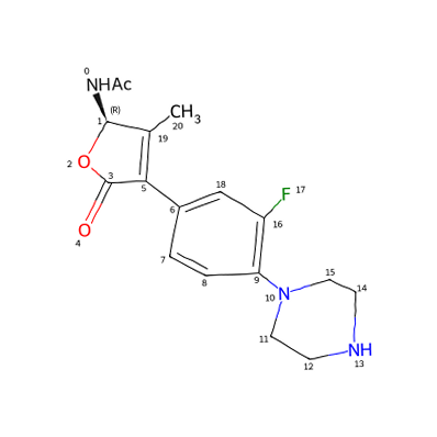 CC(=O)N[C@@H]1OC(=O)C(c2ccc(N3CCNCC3)c(F)c2)=C1C